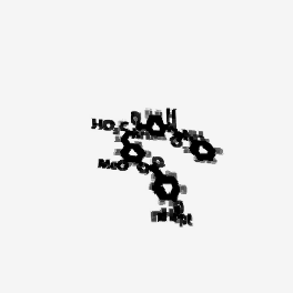 CCCCCCCOc1ccc(C(=O)Oc2ccc(CC(NC(=O)c3ccc(NC(=O)Nc4ccccc4)cc3)C(=O)O)cc2OC)cc1